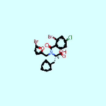 O=C(O)[C@H](Cc1ccccc1)N(Cc1ccc(Br)o1)C(=O)c1ccc(Cl)cc1Br